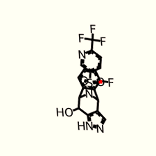 O=S(=O)(c1ccc(C(F)(F)F)nc1)N1C2c3cn[nH]c3C(O)C1c1cccc(F)c12